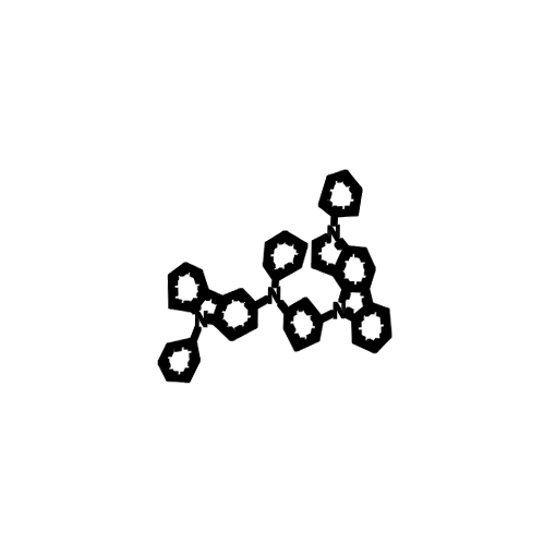 c1ccc(N(c2cccc(-n3c4ccccc4c4ccc5c(ccn5-c5ccccc5)c43)c2)c2ccc3c(c2)c2ccccc2n3-c2ccccc2)cc1